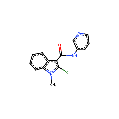 Cn1c(Cl)c(C(=O)Nc2cccnc2)c2ccccc21